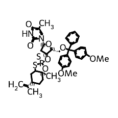 C=C(C)[C@H]1CC[C@@]2(C)OP(=S)(O[C@H]3C[C@H](n4cc(C)c(=O)[nH]c4=O)O[C@@H]3COC(c3ccccc3)(c3ccc(OC)cc3)c3ccc(OC)cc3)SC2C1